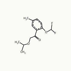 Cc1ccc(OC(F)F)c(C(=O)COC(C)C)c1